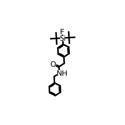 CC(C)(C)[Si](F)(c1ccc(CC(=O)NCc2ccccc2)cc1)C(C)(C)C